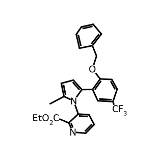 CCOC(=O)c1ncccc1-n1c(C)ccc1-c1cc(C(F)(F)F)ccc1OCc1ccccc1